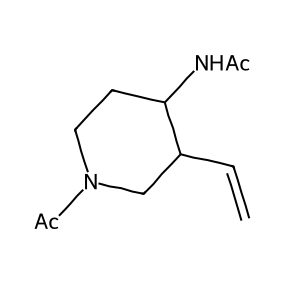 C=CC1CN(C(C)=O)CCC1NC(C)=O